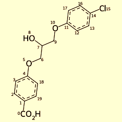 O=C(O)c1ccc(OCC(O)COc2ccc(Cl)cc2)cc1